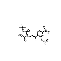 C/C(=C\CN(C(=O)O)C(=O)OC(C)(C)C)c1ccc([N+](=O)[O-])cc1C[S+](C)[O-]